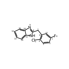 Fc1ccc(Cl)c(Cc2nc3ccccc3[nH]2)c1